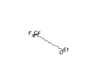 CCC(=O)CCCCCCCCCCCCCCC(F)(F)C(F)(F)F